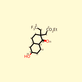 CCOC(=O)CC1(CC(F)(F)F)CCC2CC(O)CCC2C1=O